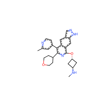 CN[C@H]1C[C@H](Oc2nc(C3CCOCC3)c(-c3ccnc(C)c3)c3cc4cn[nH]c4cc23)C1